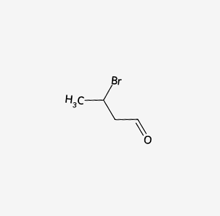 CC(Br)CC=O